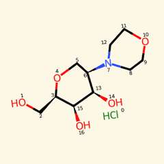 Cl.OC[C@H]1OC[C@@H](N2CCOCC2)[C@@H](O)[C@H]1O